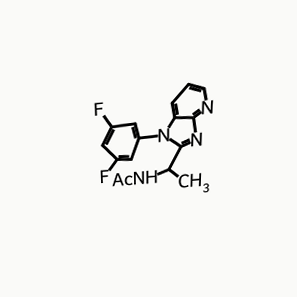 CC(=O)NC(C)c1nc2ncccc2n1-c1cc(F)cc(F)c1